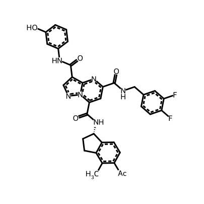 CC(=O)c1ccc2c(c1C)CC[C@@H]2NC(=O)c1cc(C(=O)NCc2ccc(F)c(F)c2)nc2c(C(=O)Nc3cccc(O)c3)cnn12